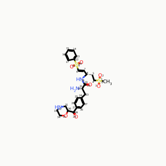 CS(=O)(=O)CC[C@@H](C=CS(=O)(=O)c1ccccc1)NC(=O)[C@@H](N)Cc1ccc(C(=O)C2CNCCO2)cc1